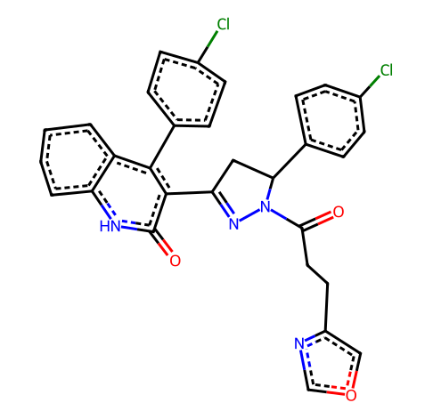 O=C(CCc1cocn1)N1N=C(c2c(-c3ccc(Cl)cc3)c3ccccc3[nH]c2=O)CC1c1ccc(Cl)cc1